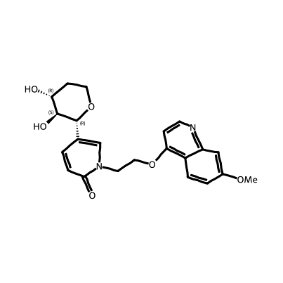 COc1ccc2c(OCCn3cc([C@H]4OCC[C@@H](O)[C@@H]4O)ccc3=O)ccnc2c1